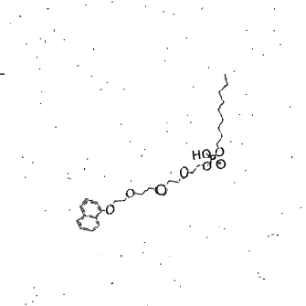 CCCCCCCCCOP(=O)(O)OCCOCCOCCOCCOc1cccc2ccccc12